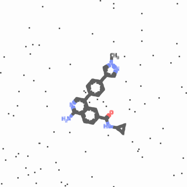 Cn1cc(-c2ccc(-c3cnc(N)c4ccc(C(=O)NC5CC5)cc34)cc2)cn1